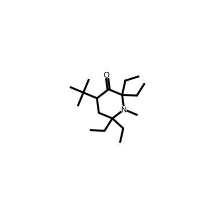 CCC1(CC)CC(C(C)(C)C)C(=O)C(CC)(CC)N1C